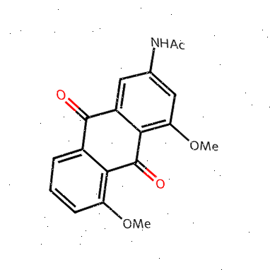 COc1cccc2c1C(=O)c1c(OC)cc(NC(C)=O)cc1C2=O